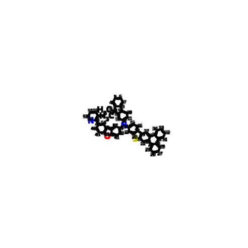 CC1(C)c2ccccc2-c2ccc(N(c3ccc4c(c3)sc3cc5c6ccccc6c6ccccc6c5cc34)c3ccc4oc5ccc(-c6ccccn6)cc5c4c3)cc21